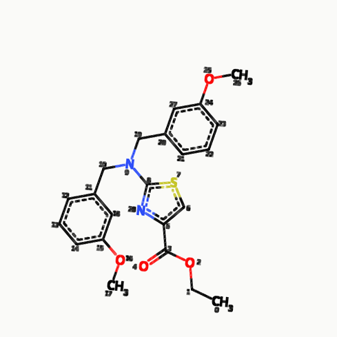 CCOC(=O)c1csc(N(Cc2cccc(OC)c2)Cc2cccc(OC)c2)n1